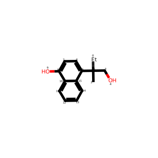 CCC(C)(CO)c1ccc(O)c2ccccc12